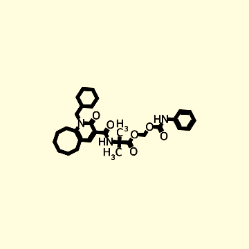 CC(C)(NC(=O)c1cc2c(n(CC3CCCCC3)c1=O)CCCCCC2)C(=O)OCOC(=O)Nc1ccccc1